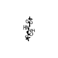 CC(C)(C)OC(=O)CNNCC(=O)OC(C)(C)C